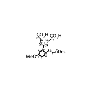 CCCCCCCCCCCOc1ccc(OC)cc1C(SCCC(=O)O)SCCC(=O)O